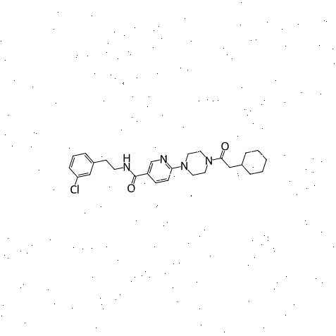 O=C(NCCc1cccc(Cl)c1)c1ccc(N2CCN(C(=O)CC3CCCCC3)CC2)nc1